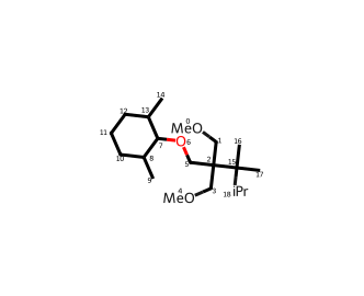 COCC(COC)(COC1C(C)CCCC1C)C(C)(C)C(C)C